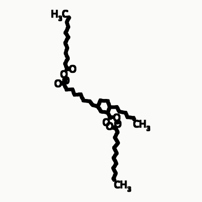 CCCCCCCCCCCC(=O)OOC(=O)CCCCCCCC1CCC(CCCCCC)C(C(=O)OOC(=O)CCCCCCCCCCC)C1